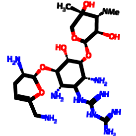 CN[C@@H]1[C@@H](O)[C@@H](O[C@@H]2[C@@H](O)[C@H](O[C@H]3OC(CN)=CC[C@H]3N)[C@@H](N)C(NC(=N)NC(=N)N)[C@H]2N)OC[C@]1(C)O